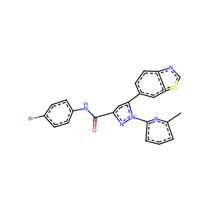 Cc1cccc(-n2nc(C(=O)Nc3ccc(Br)cc3)cc2-c2ccc3ncsc3c2)n1